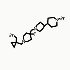 CC(C)CC1(CN2CCC(F)(CN3CCC(C4CCN(C(C)C)CC4)CC3)CC2)CC1